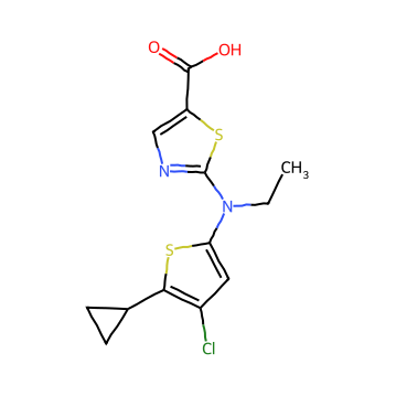 CCN(c1cc(Cl)c(C2CC2)s1)c1ncc(C(=O)O)s1